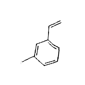 [CH]=Cc1cccc(I)c1